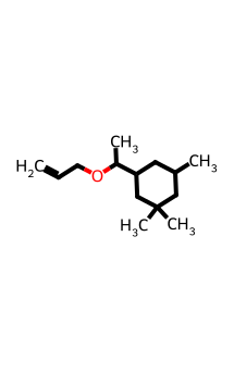 C=CCOC(C)C1CC(C)CC(C)(C)C1